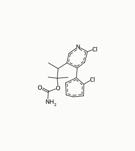 CC(c1cnc(Cl)cc1-c1ccccc1Cl)C(C)(C)OC(N)=O